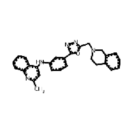 Cc1cc(Nc2cccc(-c3nnc(CN4CCc5ccccc5C4)o3)c2)c2ccccc2n1